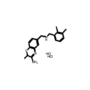 Cc1cccc(CNCc2ccc3c(c2)N=C(N)C(C)O3)c1C.Cl.Cl